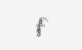 COc1ccc(NC(=O)c2cc3sc(N4CCCCC4)nc3s2)cc1